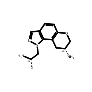 C[C@H](N)Cn1ncc2ccc3c(c21)C[C@@H](N)CO3